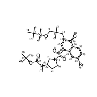 CC(C)(CO[Si](C)(C)C(C)(C)C)Cn1cc(S(=O)(=O)N2CC[C@@H](NC(=O)OC(C)(C)C)C2)c2cc(Br)ccc2c1=O